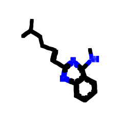 CNc1nc(C=CCCC(C)C)nc2ccccc12